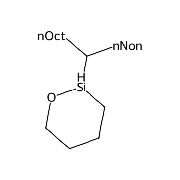 CCCCCCCCCC(CCCCCCCC)[SiH]1CCCCO1